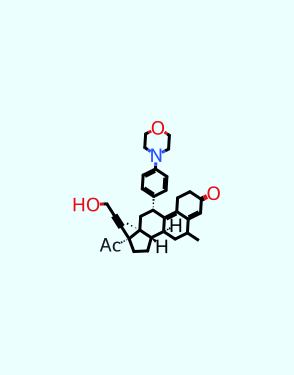 CC(=O)[C@@]1(C#CCO)CC[C@H]2[C@@H]3CC(C)C4=CC(=O)CCC4=C3[C@@H](c3ccc(N4CCOCC4)cc3)C[C@@]21C